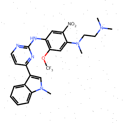 CN(C)CCN(C)c1cc(OC(F)(F)F)c(Nc2nccc(-c3cn(C)c4ccccc34)n2)cc1[N+](=O)[O-]